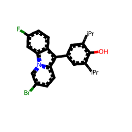 CC(C)c1cc(-c2c3ccc(F)cc3n3cc(Br)ccc23)cc(C(C)C)c1O